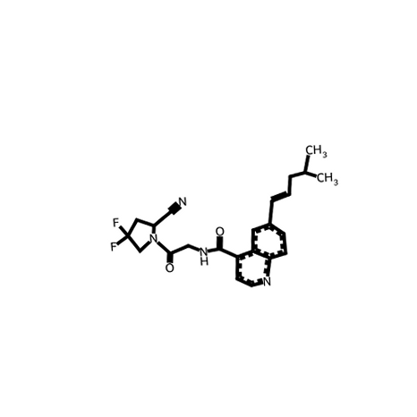 CC(C)C/C=C/c1ccc2nccc(C(=O)NCC(=O)N3CC(F)(F)CC3C#N)c2c1